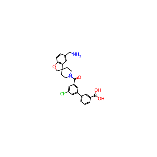 NCc1ccc2c(c1)C1(CCN(C(=O)c3cc(Cl)cc(-c4cccc(B(O)O)c4)c3)CC1)CO2